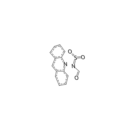 O=CN=S(=O)=O.c1ccc2nc3ccccc3cc2c1